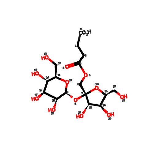 O=C(O)CCC(=O)OC[C@@]1(O[C@H]2O[C@H](CO)[C@@H](O)[C@H](O)[C@H]2O)O[C@H](CO)[C@@H](O)[C@@H]1O